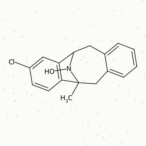 CC12Cc3ccccc3CC(c3cc(Cl)ccc31)N2O